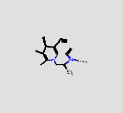 C=CC1=CN(CC(CC)N(C=C)C(C)CCC)C(C)=C(C)C1=C